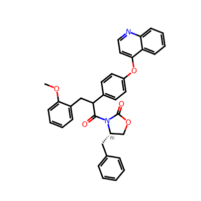 COc1ccccc1CC(C(=O)N1C(=O)OC[C@@H]1Cc1ccccc1)c1ccc(Oc2ccnc3ccccc23)cc1